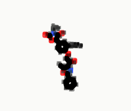 CCCN1C(=O)OC(c2ccc(OCC(=O)c3nc(-c4ccccc4)oc3C)c(OC)c2)C1=O